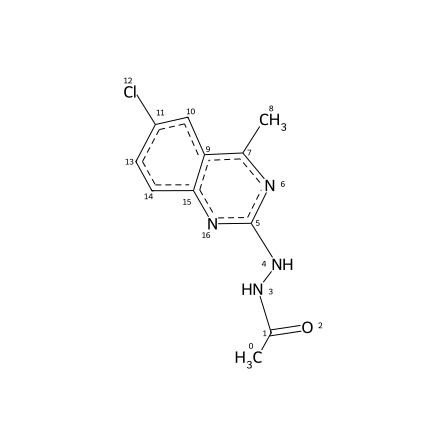 CC(=O)NNc1nc(C)c2cc(Cl)ccc2n1